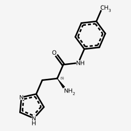 Cc1ccc(NC(=O)[C@@H](N)Cc2c[nH]cn2)cc1